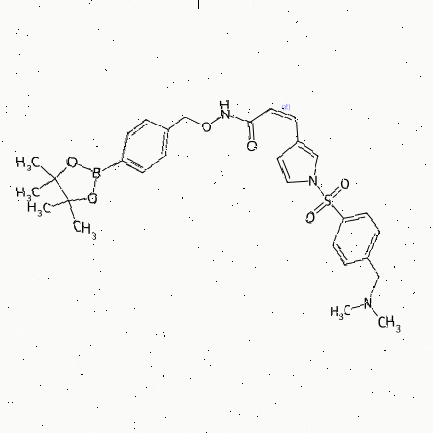 CN(C)Cc1ccc(S(=O)(=O)n2ccc(/C=C\C(=O)NOCc3ccc(B4OC(C)(C)C(C)(C)O4)cc3)c2)cc1